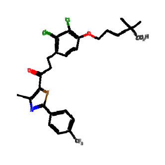 Cc1nc(-c2ccc(C(F)(F)F)cc2)sc1C(=O)CCc1ccc(OCCCC(C)(C)C(=O)O)c(Cl)c1Cl